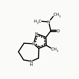 Cc1c(C(=O)N(C)C)nn2c1CNCCC2